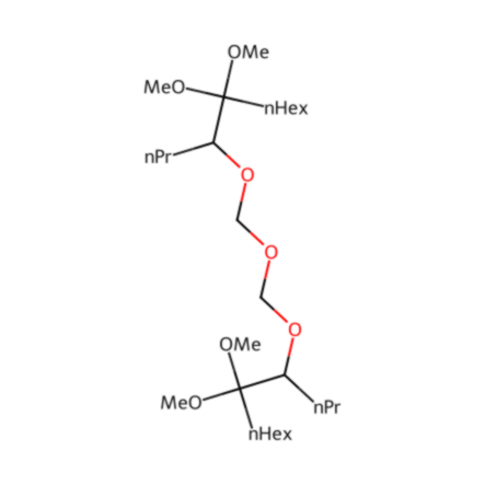 CCCCCCC(OC)(OC)C(CCC)OCOCOC(CCC)C(CCCCCC)(OC)OC